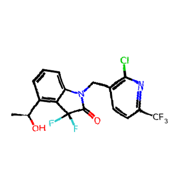 C[C@H](O)c1cccc2c1C(F)(F)C(=O)N2Cc1ccc(C(F)(F)F)nc1Cl